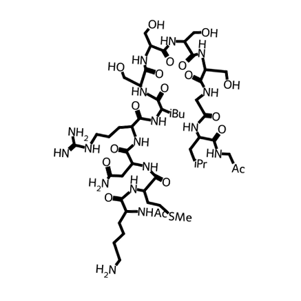 CCC(C)C(NC(=O)C(CCCNC(=N)N)NC(=O)C(CC(N)=O)NC(=O)C(CCSC)NC(=O)C(CCCCN)NC(C)=O)C(=O)NC(CO)C(=O)NC(CO)C(=O)NC(CO)C(=O)NC(CO)C(=O)NCC(=O)NC(CC(C)C)C(=O)NCC(C)=O